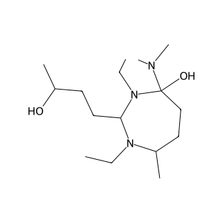 CCN1C(C)CCC(O)(N(C)C)N(CC)C1CCC(C)O